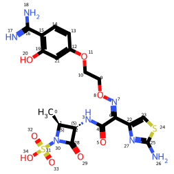 C[C@H]1[C@H](NC(=O)C(=NOCCOc2ccc(C(=N)N)c(O)c2)c2csc(N)n2)C(=O)N1S(=O)(=O)O